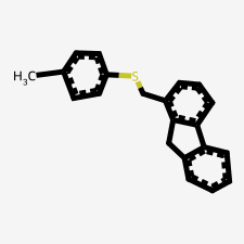 Cc1ccc(SCc2cccc3c2Cc2ccccc2-3)cc1